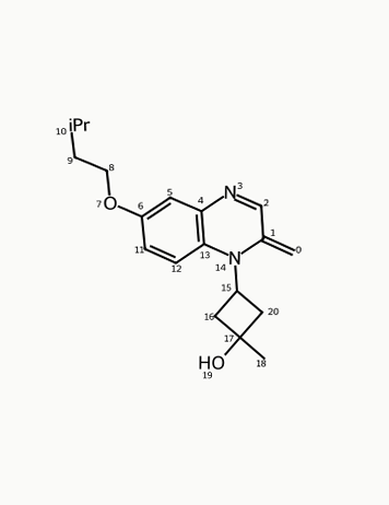 C=C1C=Nc2cc(OCCC(C)C)ccc2N1C1CC(C)(O)C1